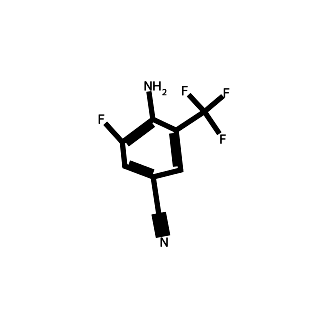 N#Cc1cc(F)c(N)c(C(F)(F)F)c1